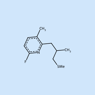 CSCC(C)Cc1nc(F)ccc1C